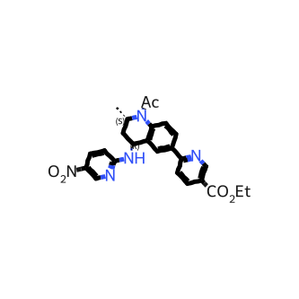 CCOC(=O)c1ccc(-c2ccc3c(c2)[C@H](Nc2ccc([N+](=O)[O-])cn2)C[C@H](C)N3C(C)=O)nc1